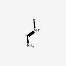 NC=[NH+][S-]